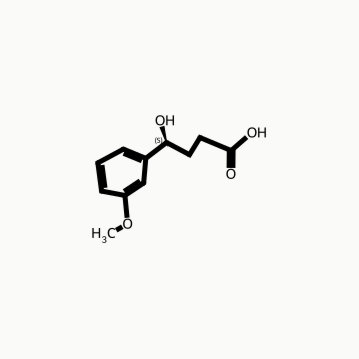 COc1cccc([C@@H](O)CCC(=O)O)c1